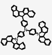 c1ccc2c3c(ccc2c1)C(c1ccc(N(c2ccc(-n4c5ccc6ccccc6c5c5ccc6ccccc6c54)cc2)c2ccc(-n4c5ccc6ccccc6c5c5ccc6ccccc6c54)cc2)cc1)c1c-3ccc2ccccc12